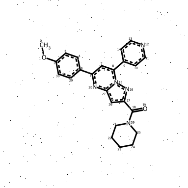 COc1ccc(-c2cc(-c3ccncc3)n3nc(C(=O)N4CCCCC4)cc3n2)cc1